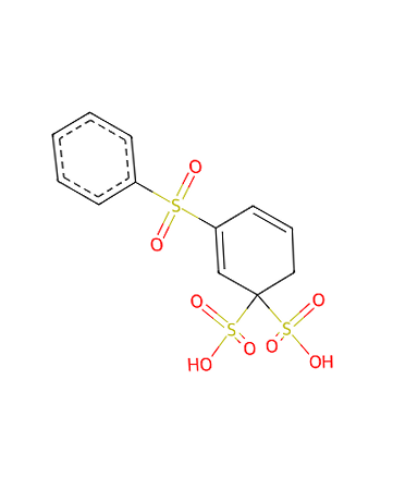 O=S(=O)(C1=CC(S(=O)(=O)O)(S(=O)(=O)O)CC=C1)c1ccccc1